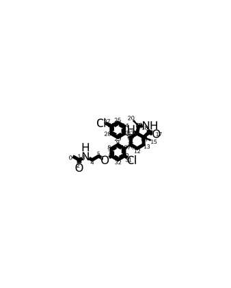 CC(=O)NCCOc1ccc([C@@H]2CC[C@@]3(C)C(=O)N[C@H](C)[C@H]3[C@H]2c2ccc(Cl)cc2)c(Cl)c1